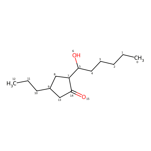 CCCCCC(O)C1CC(CCC)CC1=O